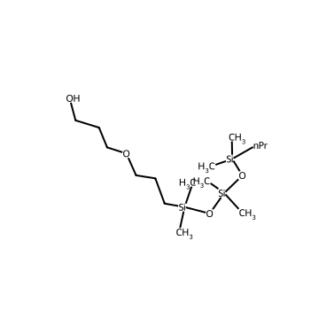 CCC[Si](C)(C)O[Si](C)(C)O[Si](C)(C)CCCOCCCO